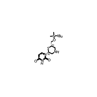 CC(C)(C)[Si](C)(C)OC[C@@H]1CNC[C@H](n2ccc(=O)[nH]c2=O)S1